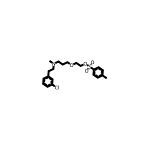 Cc1ccc(S(=O)(=O)OCCOCCCN(C)CCc2cccc(Cl)c2)cc1